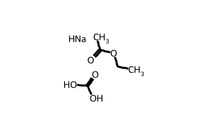 CCOC(C)=O.O=C(O)O.[NaH]